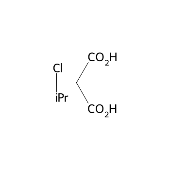 CC(C)Cl.O=C(O)CC(=O)O